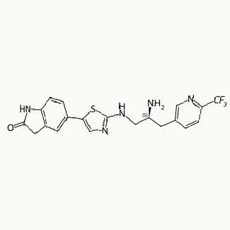 N[C@H](CNc1ncc(-c2ccc3c(c2)CC(=O)N3)s1)Cc1ccc(C(F)(F)F)nc1